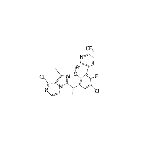 Cc1nc(C(C)c2cc(Cl)c(F)c(-c3ccc(C(F)(F)F)nc3)c2OC(C)C)n2ccnc(Cl)c12